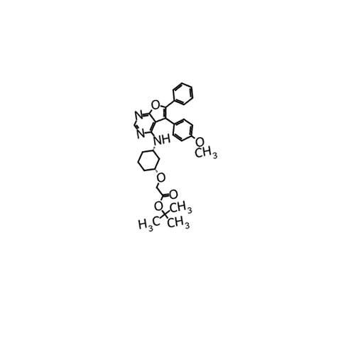 COc1ccc(-c2c(-c3ccccc3)oc3ncnc(N[C@H]4CCC[C@@H](OCC(=O)OC(C)(C)C)C4)c23)cc1